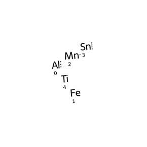 [Al].[Fe].[Mn].[Sn].[Ti]